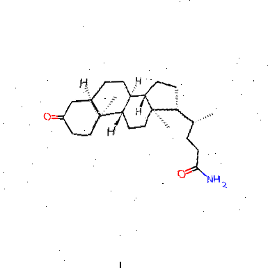 C[C@H](CCC(N)=O)[C@H]1CC[C@H]2[C@@H]3CC[C@@H]4CC(=O)CC[C@]4(C)[C@H]3CC[C@]12C